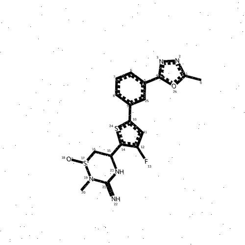 Cc1nnc(-c2cccc(-c3cc(F)c(C4C[S+]([O-])N(C)C(=N)N4)s3)c2)o1